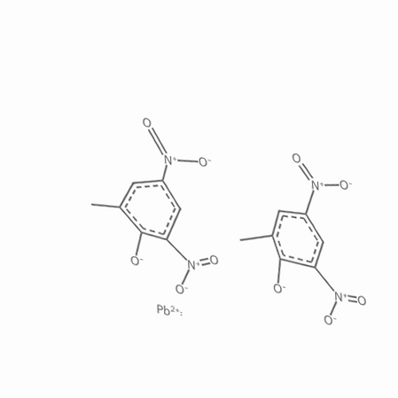 Cc1cc([N+](=O)[O-])cc([N+](=O)[O-])c1[O-].Cc1cc([N+](=O)[O-])cc([N+](=O)[O-])c1[O-].[Pb+2]